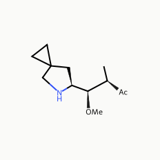 CO[C@@H]([C@@H]1CC2(CC2)CN1)[C@@H](C)C(C)=O